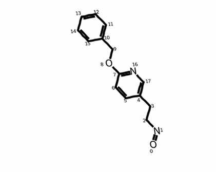 O=NCCc1ccc(OCc2ccccc2)nc1